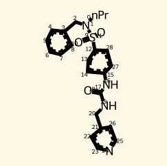 CCCN(Cc1ccccc1)S(=O)(=O)c1ccc(NC(=O)NCc2ccncc2)cc1